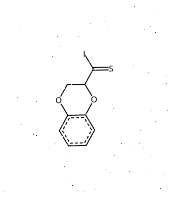 S=C(I)C1COc2ccccc2O1